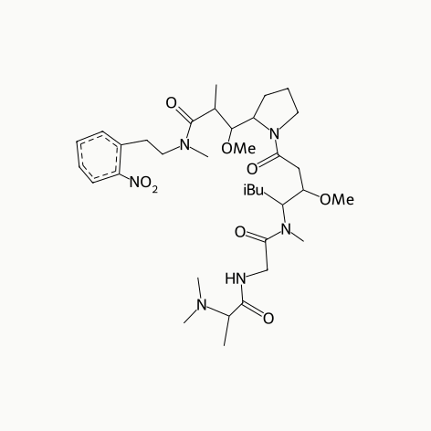 CCC(C)C(C(CC(=O)N1CCCC1C(OC)C(C)C(=O)N(C)CCc1ccccc1[N+](=O)[O-])OC)N(C)C(=O)CNC(=O)C(C)N(C)C